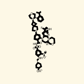 CC(C)c1ccccc1[C@@H]1COCCN1C1CC2(CCN(c3ccc(C(=O)NS(=O)(=O)c4ccc(NC[C@H]5CC[C@](C)(O)CC5)c([N+](=O)[O-])c4)c(N4CC[C@H]5COCCCN5c5nc6[nH]cc(F)c6cc54)c3)CC2)C1